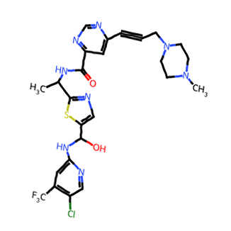 CC(NC(=O)c1cc(C#CCN2CCN(C)CC2)ncn1)c1ncc(C(O)Nc2cc(C(F)(F)F)c(Cl)cn2)s1